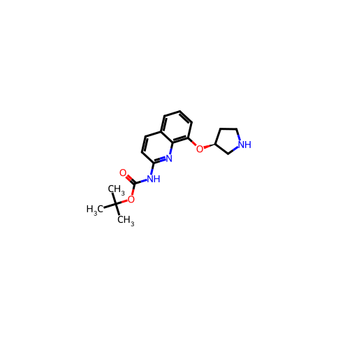 CC(C)(C)OC(=O)Nc1ccc2cccc(O[C@H]3CCNC3)c2n1